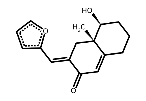 C[C@]12CC(=Cc3ccco3)C(=O)C=C1CCC[C@@H]2O